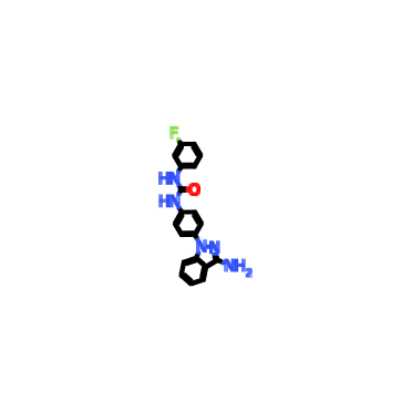 Nc1nn(-c2ccc(NC(=O)Nc3cccc(F)c3)cc2)c2ccccc12